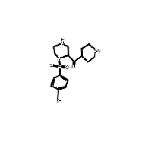 O=C(C1CCNCC1)C1CNCCN1S(=O)(=O)c1ccc(Br)cc1